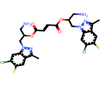 Cc1nn(CC(CN)OC(=O)/C=C/C(=O)OC(CN)Cn2nc(C)c3cc(F)c(Cl)cc32)c2cc(Cl)c(F)cc12